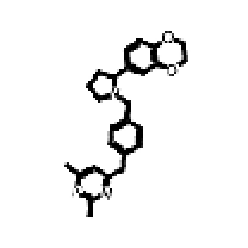 Cc1cc(Cc2ccc(CN3CCCC3c3ccc4c(c3)OCCO4)cc2)nc(C)n1